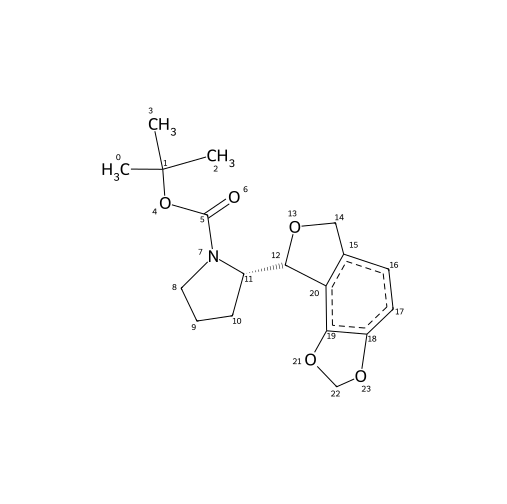 CC(C)(C)OC(=O)N1CCC[C@H]1C1OCc2ccc3c(c21)OCO3